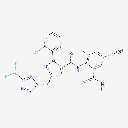 CNC(=O)c1cc(C#N)cc(C)c1NC(=O)c1cc(Cn2nnc(C(F)F)n2)nn1-c1ncccc1Cl